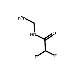 CCCCNC(=O)C(F)F